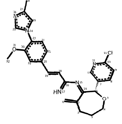 C=C1CCCO[C@@H](c2ccc(Cl)nc2)/C1=N/C(=N)/C=C/c1ccc(-n2cnc(C)c2)c(OC)c1